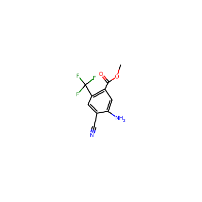 COC(=O)c1cc(N)c(C#N)cc1C(F)(F)F